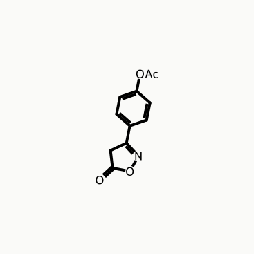 CC(=O)Oc1ccc(C2=NOC(=O)C2)cc1